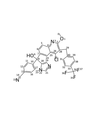 COc1nc2ccc(C(O)(c3ccc(C#N)cc3)c3cncn3C)cc2c(Cl)c1Cc1ccc(C(F)(F)F)cc1